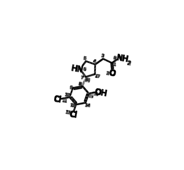 NC(=O)CC1CN[C@@H](c2cc(Cl)c(Cl)cc2O)C1